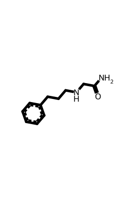 NC(=O)CNCCCc1ccccc1